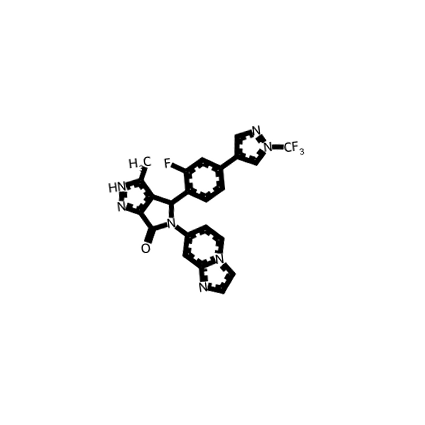 Cc1[nH]nc2c1C(c1ccc(-c3cnn(C(F)(F)F)c3)cc1F)N(c1ccn3ccnc3c1)C2=O